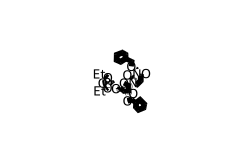 CCOP(=O)(CO[C@H]1C[C@H](OC(=O)c2ccccc2)[C@H](n2ccc(=O)n(COCc3ccccc3)c2=O)O1)OCC